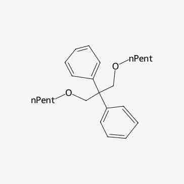 CCCCCOCC(COCCCCC)(c1ccccc1)c1ccccc1